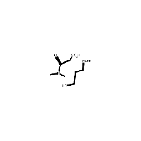 CCCCCCCCCCCO.CN(C)C(=O)CC(=O)O